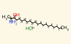 CCCCCCCCCCCCCCCCCC[C@@H](O)[C@H](C)N.Cl